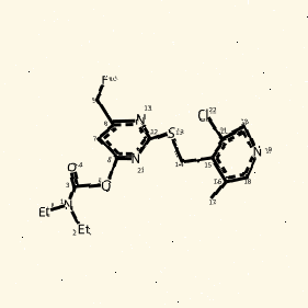 CCN(CC)C(=O)Oc1cc(CF)nc(SCc2c(C)cncc2Cl)n1